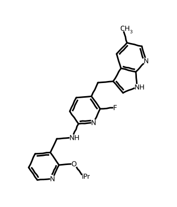 Cc1cnc2[nH]cc(Cc3ccc(NCc4cccnc4OC(C)C)nc3F)c2c1